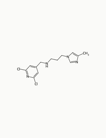 Cc1cn(CCCNCc2cc(Cl)nc(Cl)c2)cn1